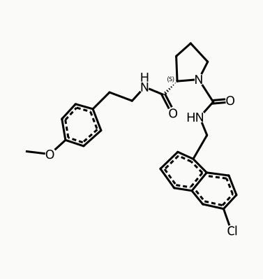 COc1ccc(CCNC(=O)[C@@H]2CCCN2C(=O)NCc2cccc3cc(Cl)ccc23)cc1